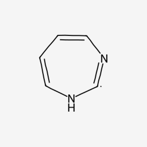 [C]1=NC=CC=CN1